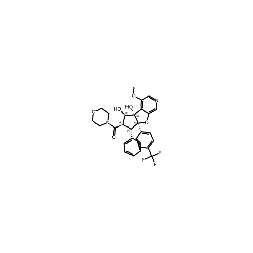 COc1cncc2c1[C@]1(O)[C@H](O)[C@H](C(=O)N3CCOCC3)[C@@H](c3ccccc3)[C@]1(c1ccc(C(F)(F)F)cc1)O2